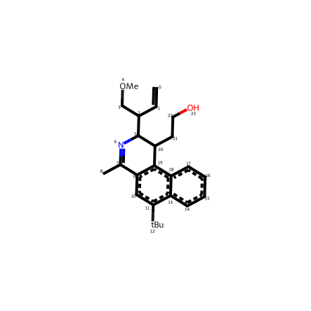 C=CC(COC)C1N=C(C)c2cc(C(C)(C)C)c3ccccc3c2C1CCO